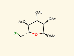 CO[C@H]1O[C@H](CBr)[C@@H](OC(C)=O)[C@H](OC(C)=O)[C@H]1OC(C)=O